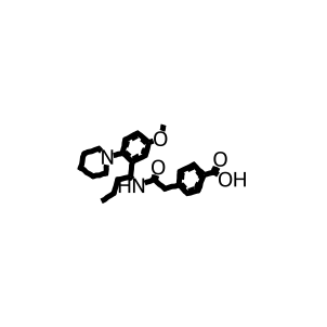 CCCC(NC(=O)Cc1ccc(C(=O)O)cc1)c1cc(OC)ccc1N1CCCCC1